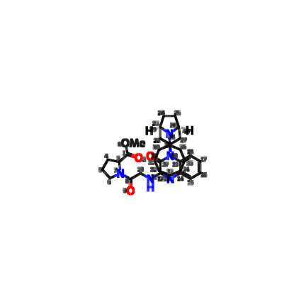 COC(=O)C1CCCN1C(=O)CNc1nc2ccccc2n([C@H]2C[C@H]3CC[C@@H](C2)N3C2CCCCCCC2)c1=O